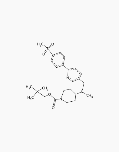 CN(Cc1ccc(-c2ccc(S(C)(=O)=O)cc2)nc1)C1CCN(C(=O)OCC(C)(C)C)CC1